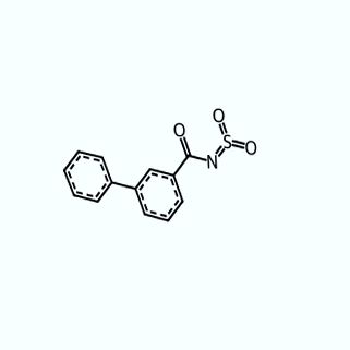 O=C(N=S(=O)=O)c1cccc(-c2ccccc2)c1